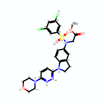 CC(C)(C)OC(=O)CN(c1ccc2c(c1)CCN2c1ccc(N2CCOCC2)nn1)S(=O)(=O)c1cc(Cl)cc(Cl)c1